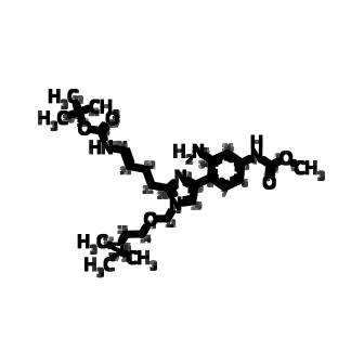 COC(=O)Nc1ccc(-c2cn(COCC[Si](C)(C)C)c(CCC=CNC(=O)OC(C)(C)C)n2)c(N)c1